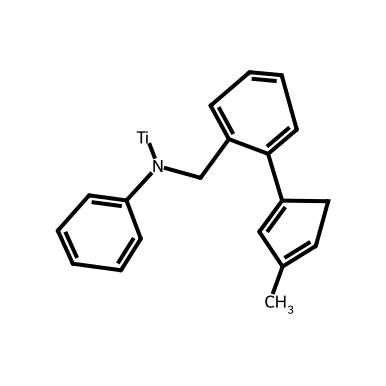 CC1=CCC(c2ccccc2C[N]([Ti])c2ccccc2)=C1